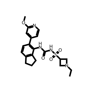 CCN1CC(S(=O)(=O)NC(=O)Nc2c(-c3ccnc(OC)c3)ccc3c2CCC3)C1